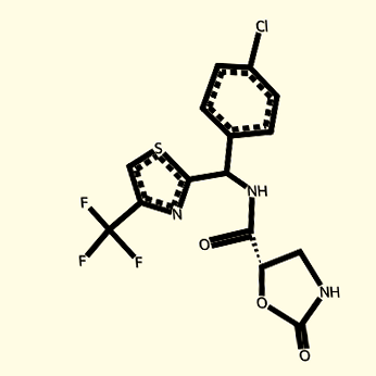 O=C1NC[C@@H](C(=O)NC(c2ccc(Cl)cc2)c2nc(C(F)(F)F)cs2)O1